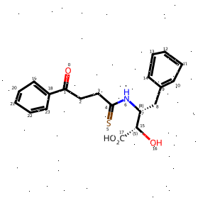 O=C(CCC(=S)N[C@H](Cc1ccccc1)[C@H](O)C(=O)O)c1ccccc1